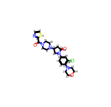 O=C(c1nccs1)N1CCN(C2CC(=O)N(c3ccc(N4CCOCC4)c(Cl)c3)C2)CC1